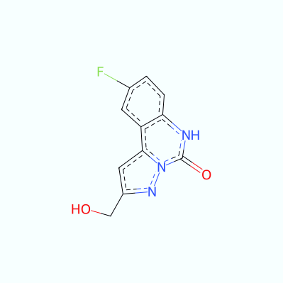 O=c1[nH]c2ccc(F)cc2c2cc(CO)nn12